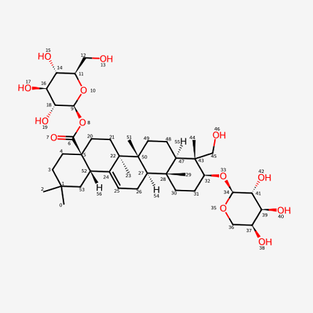 CC1(C)CC[C@]2(C(=O)O[C@@H]3O[C@H](CO)[C@@H](O)[C@H](O)[C@H]3O)CC[C@]3(C)C(=CC[C@@H]4[C@@]5(C)CC[C@H](O[C@@H]6OC[C@H](O)[C@H](O)[C@H]6O)[C@@](C)(CO)[C@@H]5CC[C@]43C)[C@@H]2C1